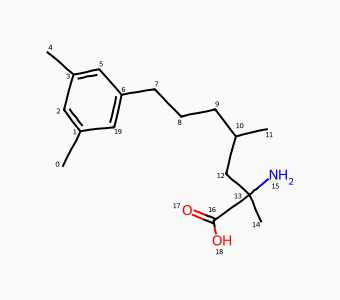 Cc1cc(C)cc(CCCC(C)CC(C)(N)C(=O)O)c1